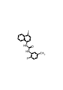 Cc1ccc(F)c(NC(=O)Nc2ccc(I)c3ccccc23)c1